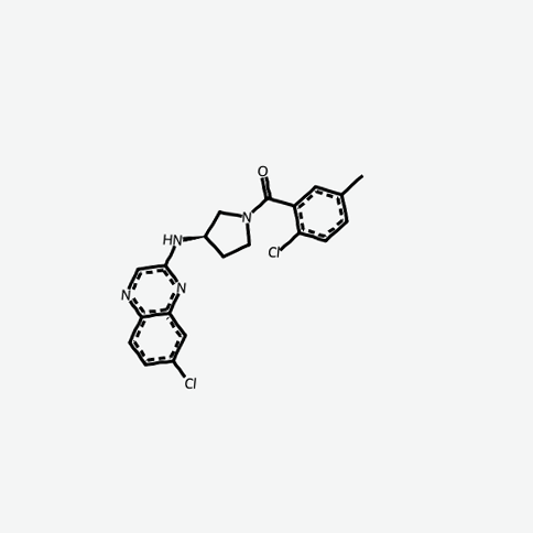 Cc1ccc(Cl)c(C(=O)N2CC[C@@H](Nc3cnc4ccc(Cl)cc4n3)C2)c1